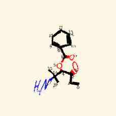 C=CC(=O)C(OC(=O)c1ccccc1)C(C)(C)N